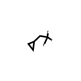 FC(F)(F)CC1CC1